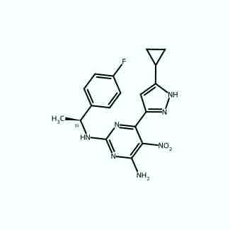 C[C@H](Nc1nc(N)c([N+](=O)[O-])c(-c2cc(C3CC3)[nH]n2)n1)c1ccc(F)cc1